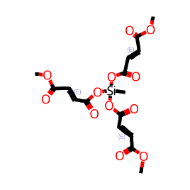 COC(=O)/C=C/C(=O)O[Si](C)(OC(=O)/C=C/C(=O)OC)OC(=O)/C=C/C(=O)OC